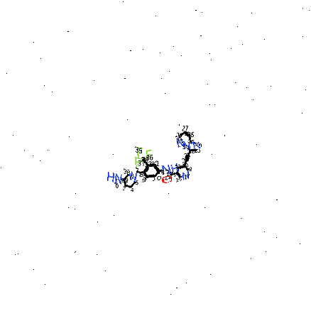 CN[C@@H]1CCCN(Cc2ccc(NC(=O)c3cncc(C#Cc4cnc5cccnn45)c3)cc2C(F)(F)F)C1